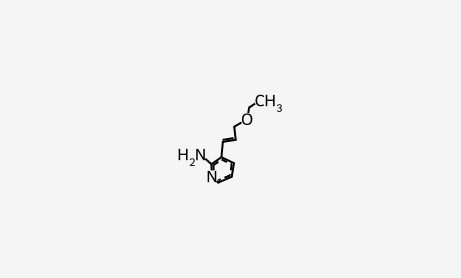 CCOC/C=C/c1cccnc1N